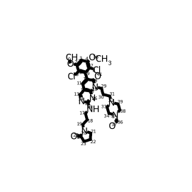 COc1cc(OC)c(Cl)c(-c2cc3cnc(NCCCN4CCCC4=O)nc3n(CCCN3CCN(C=O)CC3)c2=O)c1Cl